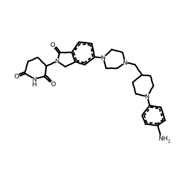 Nc1ccc(N2CCC(CN3CCN(c4ccc5c(c4)CN(C4CCC(=O)NC4=O)C5=O)CC3)CC2)cc1